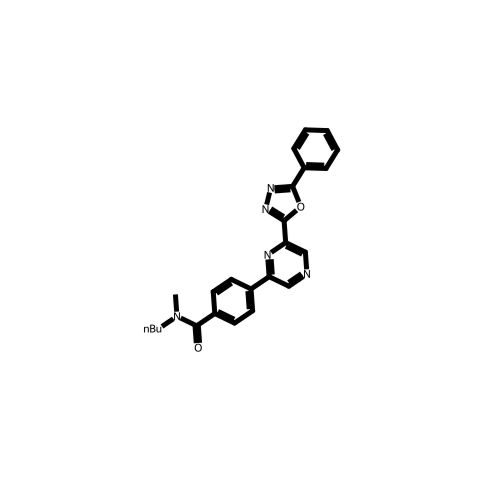 CCCCN(C)C(=O)c1ccc(-c2cncc(-c3nnc(-c4ccccc4)o3)n2)cc1